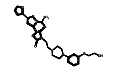 Nc1nc2c(sc(=O)n2CCN2CCN(c3cccc(OCCO)c3)CC2)c2cc(-c3ccco3)nn12